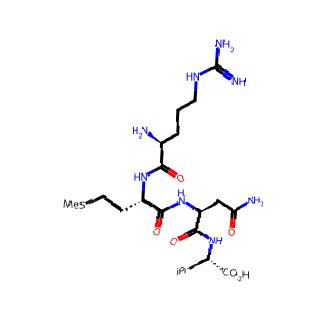 CSCC[C@H](NC(=O)[C@@H](N)CCCNC(=N)N)C(=O)N[C@@H](CC(N)=O)C(=O)N[C@H](C(=O)O)C(C)C